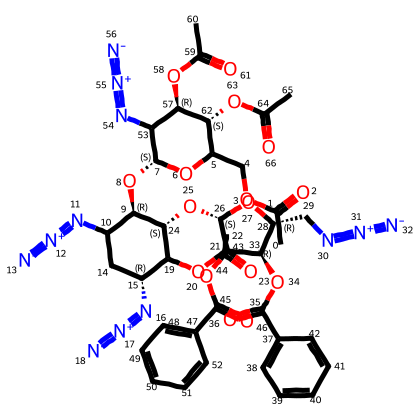 CC(=O)OCC1O[C@H](O[C@@H]2C(N=[N+]=[N-])C[C@@H](N=[N+]=[N-])C(OC(C)=O)[C@H]2O[C@@H]2O[C@H](CN=[N+]=[N-])[C@@H](OC(=O)c3ccccc3)C2OC(=O)c2ccccc2)C(N=[N+]=[N-])[C@@H](OC(C)=O)[C@@H]1OC(C)=O